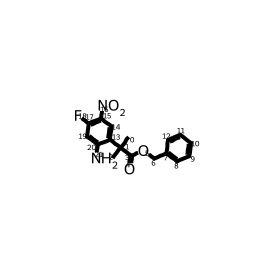 CC(C)(C(=O)OCc1ccccc1)c1cc([N+](=O)[O-])c(F)cc1N